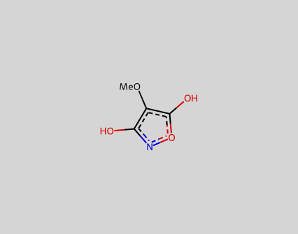 COc1c(O)noc1O